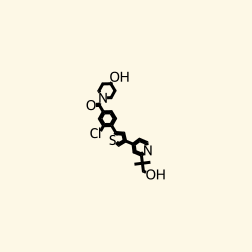 CC(C)(CO)c1cc(-c2csc(-c3ccc(C(=O)N4CCC(O)CC4)cc3Cl)c2)ccn1